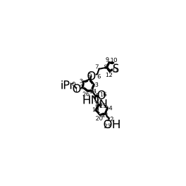 CC(C)Oc1cc(OCCc2ccsc2)cc(C(=O)Nc2ccc(CO)cn2)c1